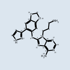 NCCCn1c(Sc2cc3c(cc2-c2cc[nH]n2)OCO3)nc2c(N)ncnc21